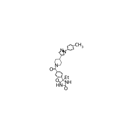 CCC1(c2ccc(C(=O)N3CCC(c4cnn(-c5ccc(C)cc5)c4)CC3)cc2)NC(=O)NC1=O